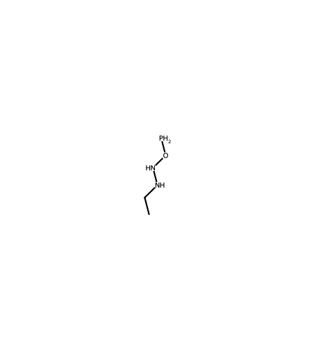 CCNNOP